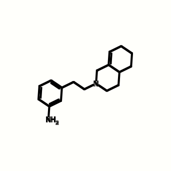 Nc1cccc(CCN2CCC3CCCC=C3C2)c1